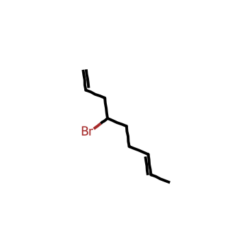 C=CCC(Br)CC/C=C/C